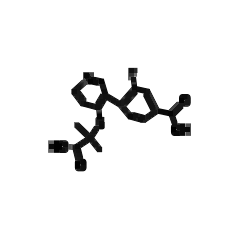 CC(C)(Sc1ccncc1-c1ccc(C(=O)O)cc1F)C(=O)O